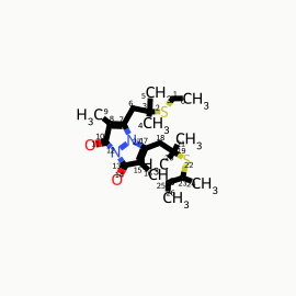 CCSC(C)(C)Cc1c(C)c(=O)n2c(=O)c(C)c(CC(C)(C)SC(C)CC)n12